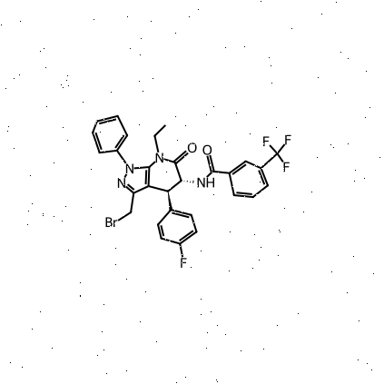 CCN1C(=O)[C@H](NC(=O)c2cccc(C(F)(F)F)c2)[C@@H](c2ccc(F)cc2)c2c(CBr)nn(-c3ccccc3)c21